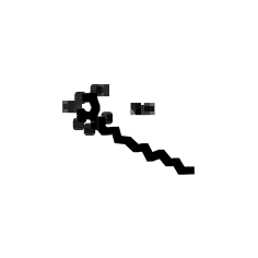 CCCCCCCCCCCCS(=O)(=O)C(CC(=O)O)C(=O)O.[NaH]